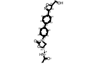 CC(=O)NC[C@H]1CN(c2ccc(-c3ccc(C4=NOC(CO)C4)cc3)cc2)C(=O)O1